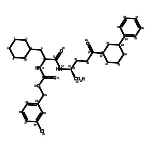 O=C(NC(CC1CCCCC1)C(=O)N[C@@H](CCC(=O)N1CCCC(c2ccccc2)C1)C(=O)O)OCc1cccc(Cl)c1